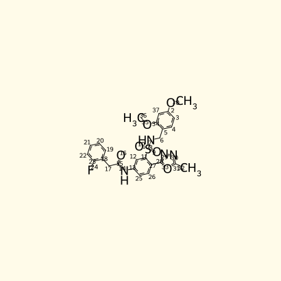 COc1ccc(CNS(=O)(=O)c2cc(NC(=O)Cc3ccccc3F)ccc2-c2nnc(C)o2)c(OC)c1